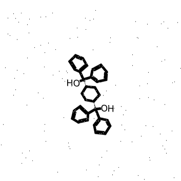 OC(c1ccccc1)(c1ccccc1)[C@H]1CC[C@@H](C(O)(c2ccccc2)c2ccccc2)CC1